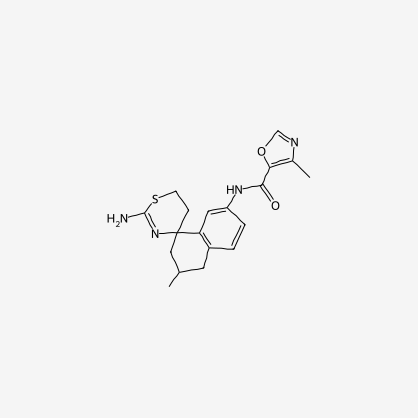 Cc1ncoc1C(=O)Nc1ccc2c(c1)C1(CCSC(N)=N1)CC(C)C2